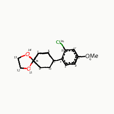 COc1ccc(C2CCC3(CC2)OCCO3)c(Cl)c1